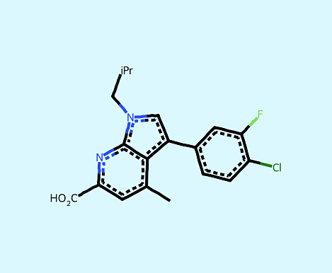 Cc1cc(C(=O)O)nc2c1c(-c1ccc(Cl)c(F)c1)cn2CC(C)C